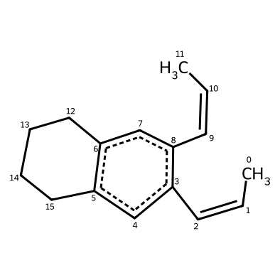 C/C=C\c1cc2c(cc1/C=C\C)CCCC2